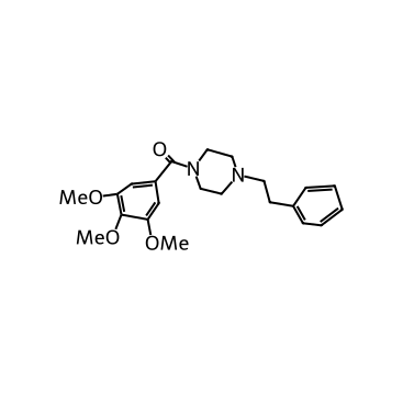 COc1cc(C(=O)N2CCN(CCc3ccccc3)CC2)cc(OC)c1OC